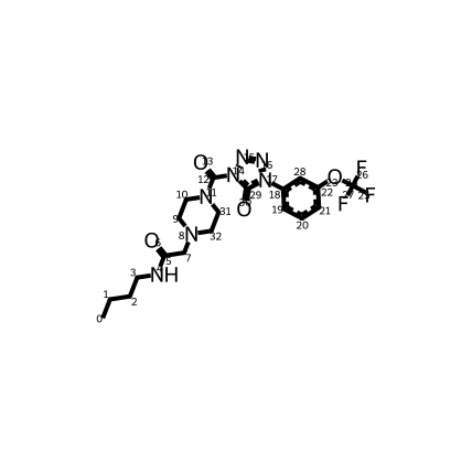 CCCCNC(=O)CN1CCN(C(=O)n2nnn(-c3cccc(OC(F)(F)F)c3)c2=O)CC1